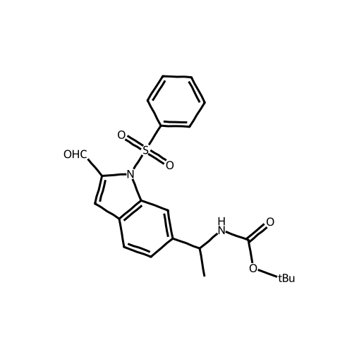 CC(NC(=O)OC(C)(C)C)c1ccc2cc(C=O)n(S(=O)(=O)c3ccccc3)c2c1